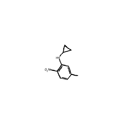 Cc1ccc([N+](=O)[O-])c(NC2CC2)c1